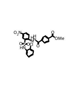 COC(=O)c1ccc(C(=O)NNc2ccc([N+](=O)[O-])cc2S(=O)(=O)Nc2ccccc2Cl)cc1